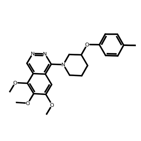 COc1cc2c(N3CCCC(Oc4ccc(C)cc4)C3)nncc2c(OC)c1OC